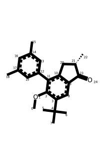 COc1c(C(C)(C)C)cc2c(c1-c1cc(C)cc(C)c1)C[C@H](C)C2=O